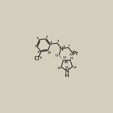 CC(C)CN(Cc1cccc(Cl)c1)C[C@@H]1CCNC1